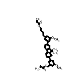 C=CC(=O)OCCCCc1cc(OC)cc(-c2ccc3c(c2)C(C)(C)c2cc(-c4cc(COC(=O)C=C)cc(OC)c4)ccc2-3)c1